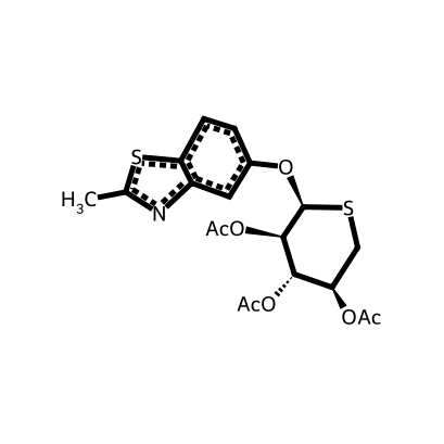 CC(=O)O[C@@H]1[C@@H](OC(C)=O)[C@@H](Oc2ccc3sc(C)nc3c2)SC[C@H]1OC(C)=O